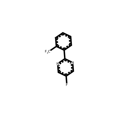 Fc1cnc(-c2ccc[c]c2C(F)(F)F)nc1